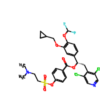 CN(C)CCS(=O)(=O)Oc1ccc(C(=O)O[C@@H](Cc2c(Cl)cncc2Cl)c2ccc(OC(F)F)c(OCC3CC3)c2)cc1